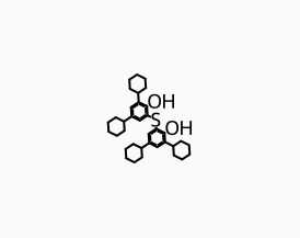 Oc1c(Sc2cc(C3CCCCC3)cc(C3CCCCC3)c2O)cc(C2CCCCC2)cc1C1CCCCC1